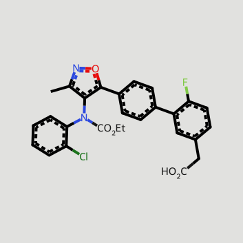 CCOC(=O)N(c1ccccc1Cl)c1c(C)noc1-c1ccc(-c2cc(CC(=O)O)ccc2F)cc1